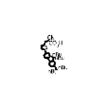 CCCCN(CCCC)c1ccc2c(c1)C(CCCC)(CCCC)c1cc(-c3ccc(C=C(C#N)C(=O)O)s3)ccc1-2